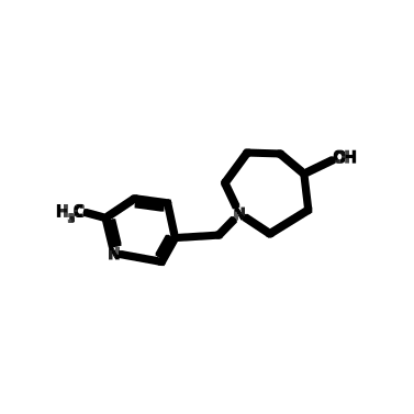 Cc1ccc(CN2CCCC(O)CC2)cn1